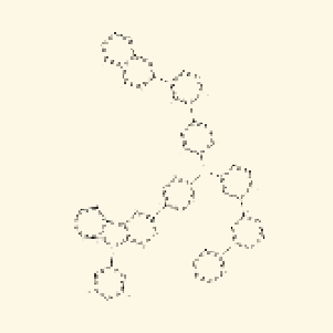 c1ccc(-c2cccc(-c3cccc(N(c4ccc(-c5cccc(-c6ccc7ccccc7c6)c5)cc4)c4ccc(-c5ccc6c(c5)c5ccccc5n6-c5ccccc5)cc4)c3)c2)cc1